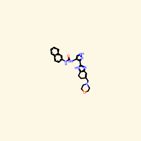 O=C(Nc1ccc2ccccc2c1)Nc1c[nH]nc1-c1nc2c([nH]1)CCC(CN1CCOCC1)=C2